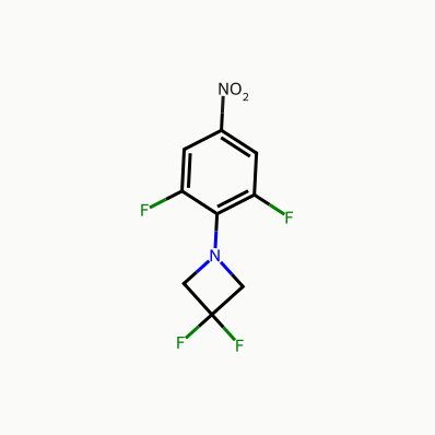 O=[N+]([O-])c1cc(F)c(N2CC(F)(F)C2)c(F)c1